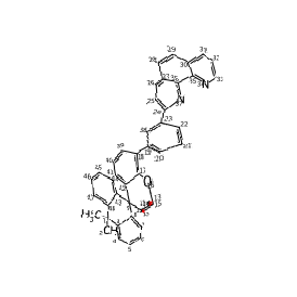 CC1(C)c2ccccc2C2(c3ccccc3Oc3c(-c4cccc(-c5ccc6ccc7cccnc7c6n5)c4)cccc32)c2ccccc21